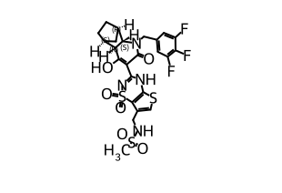 CS(=O)(=O)NCc1csc2c1S(=O)(=O)N=C(C1=C(O)[C@@H]3[C@H]4CC[C@H](C4)[C@@H]3N(Cc3cc(F)c(F)c(F)c3)C1=O)N2